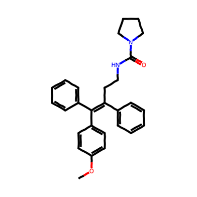 COc1ccc(/C(=C(/CCNC(=O)N2CCCC2)c2ccccc2)c2ccccc2)cc1